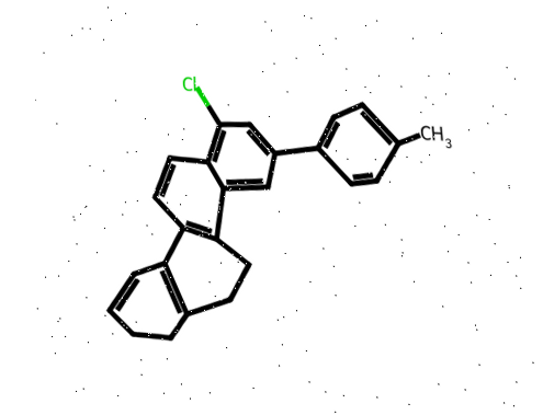 Cc1ccc(-c2cc(Cl)c3ccc4c(c3c2)CCC2=C4C=CCC2)cc1